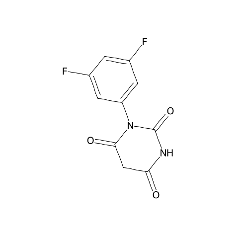 O=C1CC(=O)N(c2cc(F)cc(F)c2)C(=O)N1